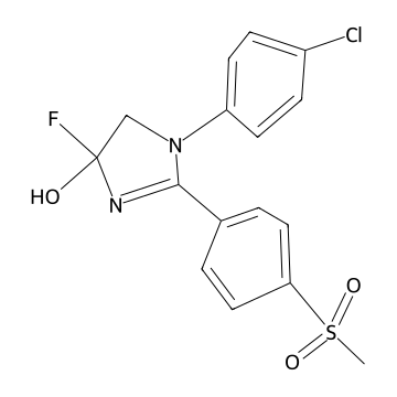 CS(=O)(=O)c1ccc(C2=NC(O)(F)CN2c2ccc(Cl)cc2)cc1